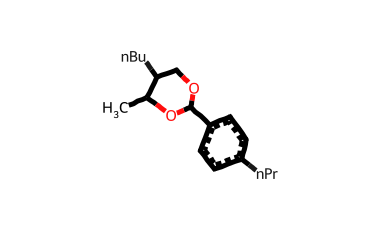 CCCCC1COC(c2ccc(CCC)cc2)OC1C